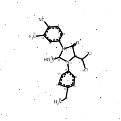 N#Cc1ccc(N2C(=O)C(C(Cl)Cl)N(c3ccc(CN)cc3)C2S(=O)(=O)O)cc1C(F)(F)F